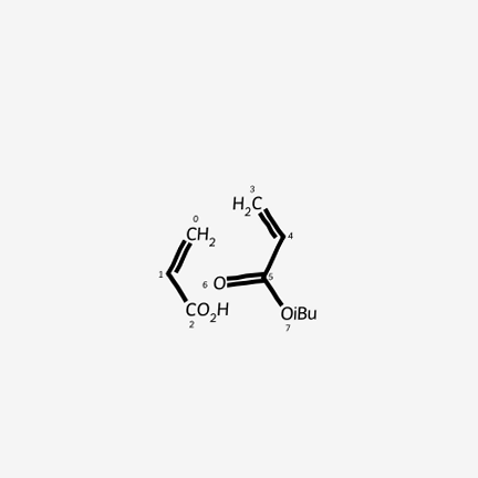 C=CC(=O)O.C=CC(=O)OCC(C)C